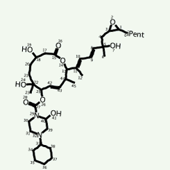 CCCC(C)C1OC1CC(C)(O)/C=C/C=C(\C)C1OC(=O)CC(O)CCC(C)(O)C(OC(=O)N2CCN(C3CCCCC3)CC2O)/C=C/C1C